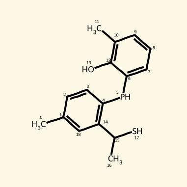 Cc1ccc(Pc2cccc(C)c2O)c(C(C)S)c1